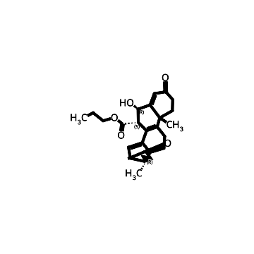 CCCOC(=O)[C@H]1C2=C(CCC34C(=O)CC[C@]3(C)CC=C24)C2(C)CCC(=O)C=C2[C@@H]1O